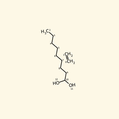 C=C.CCCCCCCCC(O)O